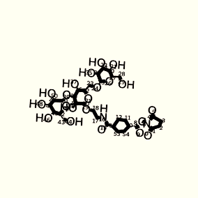 O=C1CCC(=O)N1OC(=O)[C@H]1CC[C@H](C(=O)NCCO[C@H]2O[C@H](CO[C@H]3O[C@H](CO)[C@@H](O)[C@H](O)[C@@H]3O)[C@@H](O)[C@H](O[C@H]3O[C@H](CO)[C@@H](O)[C@H](O)[C@@H]3O)[C@@H]2O)CC1